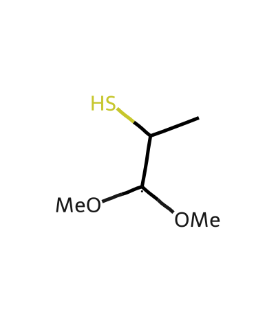 CO[C](OC)C(C)S